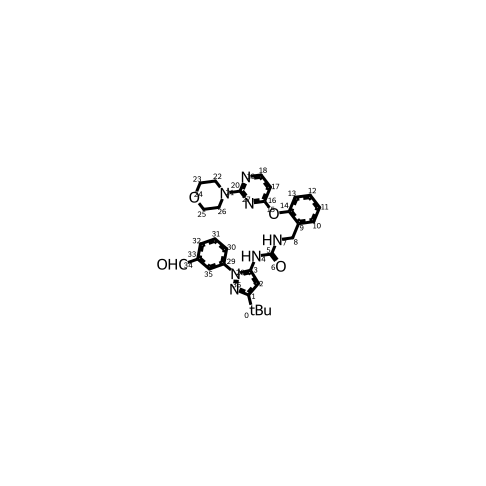 CC(C)(C)c1cc(NC(=O)NCc2ccccc2Oc2ccnc(N3CCOCC3)n2)n(-c2cccc(C=O)c2)n1